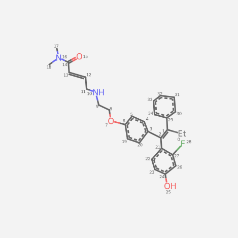 CC/C(=C(/c1ccc(OCCNC/C=C/C(=O)N(C)C)cc1)c1ccc(O)cc1F)c1ccccc1